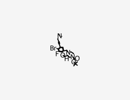 CN(C)CC#Cc1cc2c(c(F)c1Br)OC[C@H]1CN(C(=O)OC(C)(C)C)CCN1C2